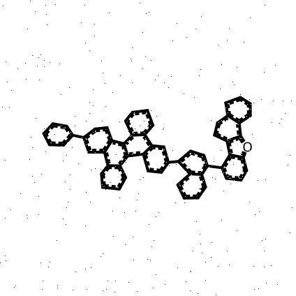 c1ccc(-c2ccc3c(c2)c2ccccc2c2c4ccc(-c5ccc(-c6cccc7oc8c9ccccc9ccc8c67)c6ccccc56)cc4c4ccccc4c32)cc1